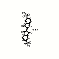 O=C1C(=C2Nc3ccc(S(=O)(=O)O)cc3C2=O)Nc2ccc(S(=O)(=O)O)cc21.[Na].[Na]